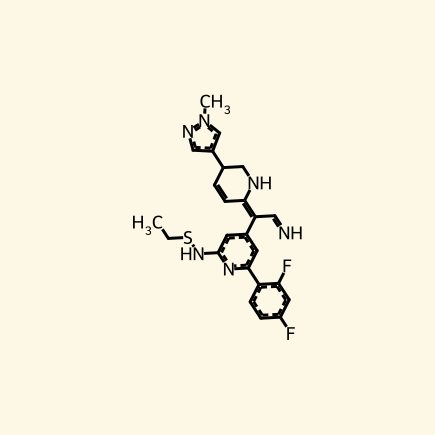 CCSNc1cc(/C(C=N)=C2\C=CC(c3cnn(C)c3)CN2)cc(-c2ccc(F)cc2F)n1